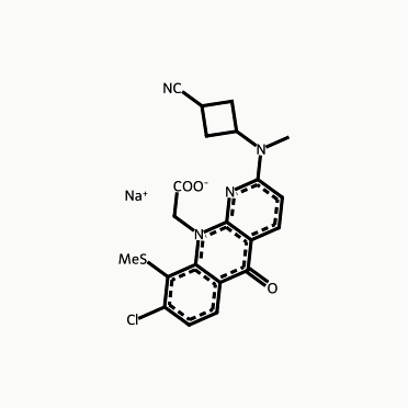 CSc1c(Cl)ccc2c(=O)c3ccc(N(C)C4CC(C#N)C4)nc3n(CC(=O)[O-])c12.[Na+]